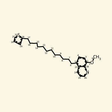 COc1ccc(CCCCCCCCCCCCc2cccs2)c2cccnc12